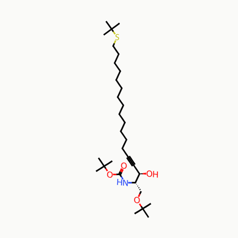 CC(C)(C)OC[C@H](NC(=O)OC(C)(C)C)[C@H](O)C#CCCCCCCCCCCCCCSC(C)(C)C